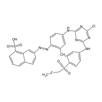 CCCS(=O)(=O)c1ccc(Nc2nc(Cl)nc(Nc3ccc(N=Nc4ccc5cccc(S(=O)(=O)O)c5c4)c(C)c3)n2)cc1